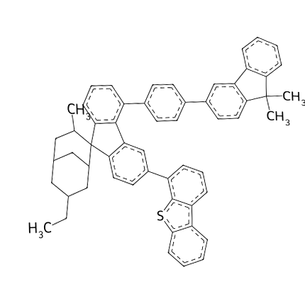 CCC1CC2CC(C)C3(c4ccc(-c5cccc6c5sc5ccccc56)cc4-c4c(-c5ccc(-c6ccc7c(c6)-c6ccccc6C7(C)C)cc5)cccc43)C(C1)C2